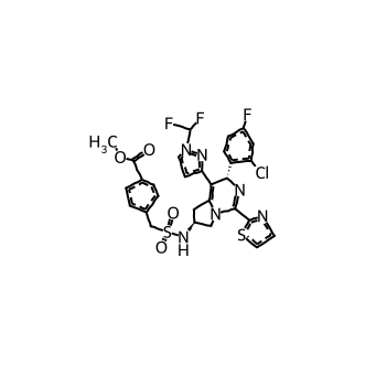 COC(=O)c1ccc(CS(=O)(=O)N[C@H]2CC3=C(c4ccn(C(F)F)n4)[C@H](c4ccc(F)cc4Cl)N=C(c4nccs4)N3C2)cc1